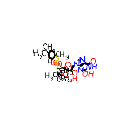 C=C(C)[C@H]1CC[C@@]2(C)SP(=S)(OC[C@H]3O[C@@H](n4cnc5c(=O)[nH]c(O)nc54)[C@H](O)[C@@H]3O[Si](C)(C)C(C)(C)C)O[C@@H]2C1